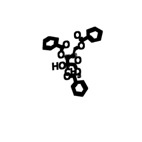 C[C@]1(O)C(OC(=O)c2ccccc2)O[C@H](COC(=O)c2ccccc2)[C@H]1OC(=O)c1ccccc1